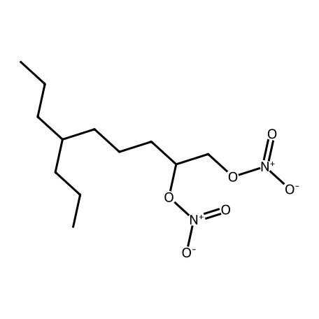 CCCC(CCC)CCCC(CO[N+](=O)[O-])O[N+](=O)[O-]